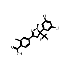 Cc1cc(C2=NN(C)C(c3cc(Cl)cc(Cl)c3)(C(F)(F)F)C2)ccc1C(=O)O